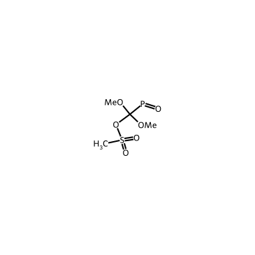 COC(OC)(OS(C)(=O)=O)P=O